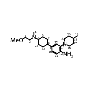 COCCN(C)C1CCC(c2ccc(N)c(N3CCC(C)CC3)c2)CC1